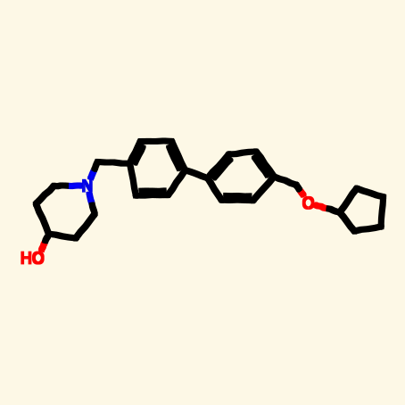 OC1CCN(Cc2ccc(-c3ccc(COC4CCCC4)cc3)cc2)CC1